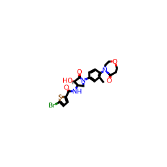 Cc1cc(N2CC(NC(=O)c3ccc(Br)s3)[C@@H](O)C2=O)ccc1N1CCOCCC1=O